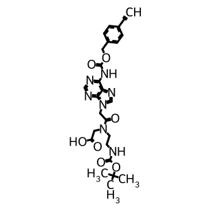 C#Cc1ccc(COC(=O)Nc2ncnc3c2ncn3CC(=O)N(CCNC(=O)OC(C)(C)C)CC(=O)O)cc1